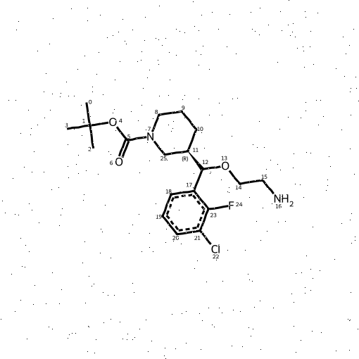 CC(C)(C)OC(=O)N1CCC[C@@H](C(OCCN)c2cccc(Cl)c2F)C1